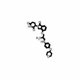 N/C(=C\Nc1ccc(OC2CCOCC2)cc1)COc1cccc2c1CN(C1CCC(=O)NC1=O)C2=O